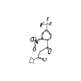 O=C(CC(=O)C1CCC1)c1ccc(C(F)(F)F)cc1[N+](=O)[O-]